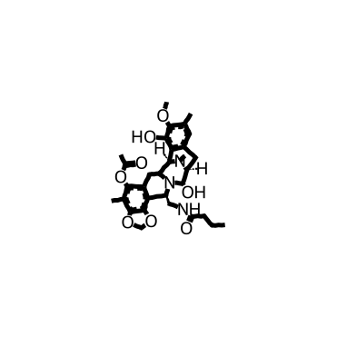 CCCC(=O)NC[C@H]1c2c(c(OC(C)=O)c(C)c3c2OCO3)CC2[C@H]3c4c(cc(C)c(OC)c4O)C[C@@H](C(O)N21)N3C